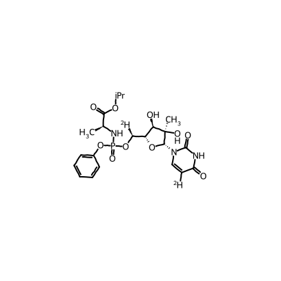 [2H]c1cn([C@@H]2O[C@H]([C@H]([2H])OP(=O)(N[C@@H](C)C(=O)OC(C)C)Oc3ccccc3)[C@@H](O)[C@@]2(C)O)c(=O)[nH]c1=O